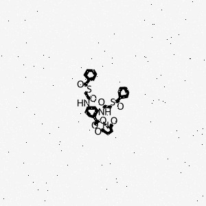 O=C(CSC(=O)c1ccccc1)Nc1ccc(C(=O)ON2C(=O)CCC2=O)c(NC(=O)CSC(=O)c2ccccc2)c1